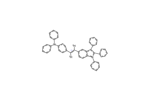 [2H]/C(=C(/[2H])c1ccc2c(c1)c(-c1ccccc1)c(-c1ccccc1)n2-c1ccccc1)c1ccc(N(c2ccccc2)c2ccccc2)cc1